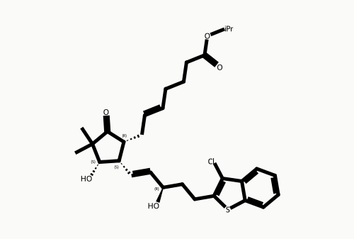 CC(C)OC(=O)CCCC=CC[C@H]1C(=O)C(C)(C)[C@@H](O)[C@H]1C=C[C@H](O)CCc1sc2ccccc2c1Cl